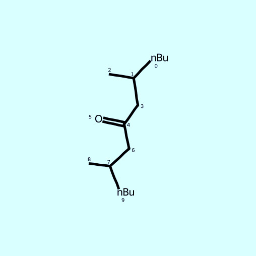 CCCCC(C)CC(=O)CC(C)CCCC